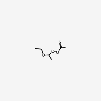 CCOC(C)OOC(C)=S